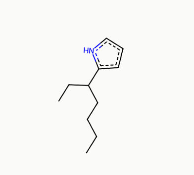 CCCCC(CC)c1ccc[nH]1